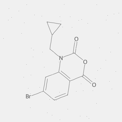 O=c1oc(=O)n(CC2CC2)c2cc(Br)ccc12